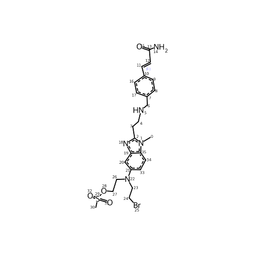 Cn1c(CCNCc2ccc(/C=C/C(N)=O)cc2)nc2cc(N(CCBr)CCOS(C)(=O)=O)ccc21